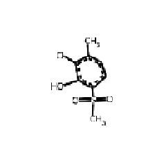 Cc1ccc(S(C)(=O)=O)c(O)c1Cl